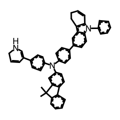 CC1(C)c2ccccc2-c2ccc(N(c3ccc(C4=CNCC=C4)cc3)c3ccc(-c4ccc5c(c4)c4c(n5-c5ccccc5)C=CCC4)cc3)cc21